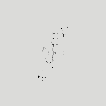 CC(C)OC(=O)Nc1ccc(-c2c(N)c3ccc(OC4CCS(=O)(=O)CC4)cc3n2C2CCC2)cc1